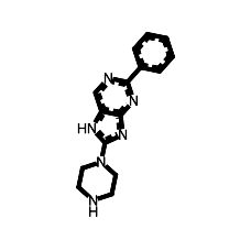 c1ccc(-c2ncc3[nH]c(N4CCNCC4)nc3n2)cc1